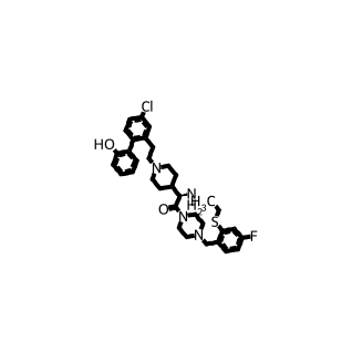 CCSc1cc(F)ccc1CN1CCN(C(=O)[C@H](N)C2CCN(CCc3cc(Cl)ccc3-c3ccccc3O)CC2)CC1